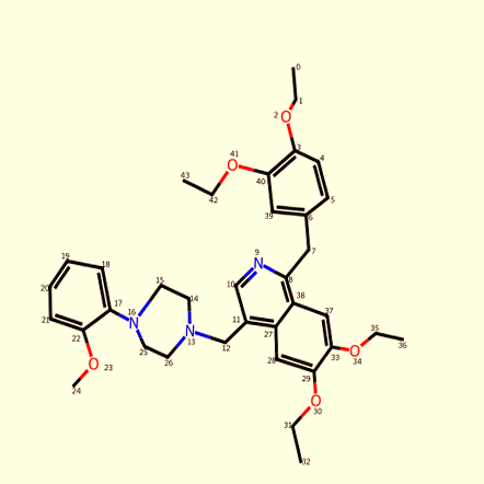 CCOc1ccc(Cc2ncc(CN3CCN(c4ccccc4OC)CC3)c3cc(OCC)c(OCC)cc23)cc1OCC